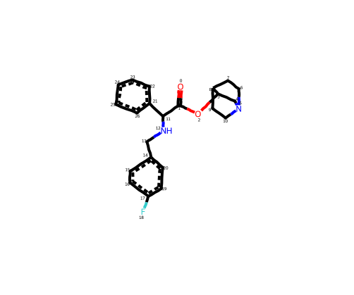 O=C(OC1CN2CCC1CC2)C(NCc1ccc(F)cc1)c1ccccc1